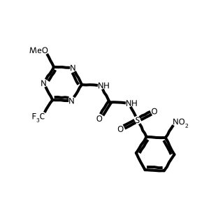 COc1nc(NC(=O)NS(=O)(=O)c2ccccc2[N+](=O)[O-])nc(C(F)(F)F)n1